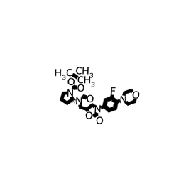 CC(C)(C)OC(=O)N1CCC[C@H]1N(C=O)CC1CN(c2ccc(N3CCOCC3)c(F)c2)C(=O)O1